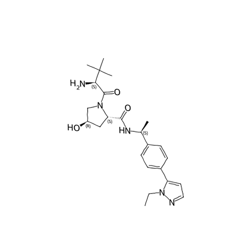 CCn1nccc1-c1ccc([C@H](C)NC(=O)[C@@H]2C[C@@H](O)CN2C(=O)[C@@H](N)C(C)(C)C)cc1